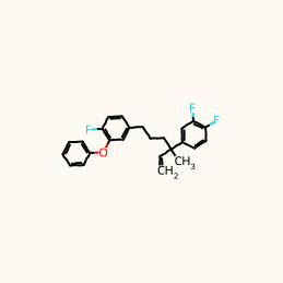 C=CC(C)(CCCc1ccc(F)c(Oc2ccccc2)c1)c1ccc(F)c(F)c1